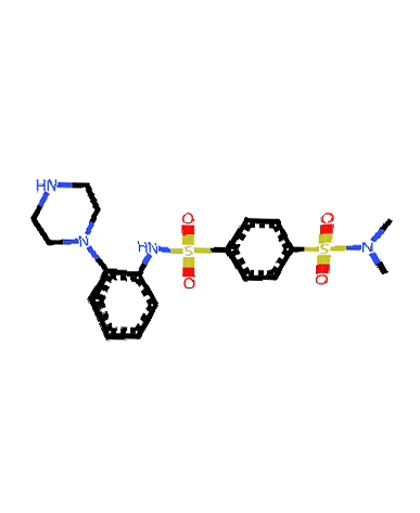 CN(C)S(=O)(=O)c1ccc(S(=O)(=O)Nc2ccccc2N2CCNCC2)cc1